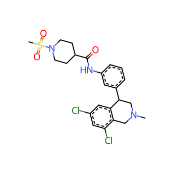 CN1Cc2c(Cl)cc(Cl)cc2C(c2cccc(NC(=O)C3CCN(S(C)(=O)=O)CC3)c2)C1